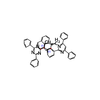 C=C(/C=C\C(=C/C)c1nc(-c2ccccc2)nc(-c2ccccc2)n1)c1cccc2cccc(-c3cccc(-c4nc(-c5ccccc5)cc(-c5ccccc5)n4)c3)c12